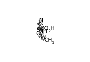 Cc1ccc2c(c1)CC(C(=O)Nc1scc(-c3ccc(Cl)cc3)c1C(=O)O)O2